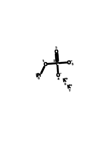 CC(C)OP(=O)([O-])[O-].[K+].[K+]